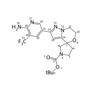 CC(C)(C)OC(=O)N1CCC2(C1)OCCn1nc(-c3cnc(N)c(C(F)(F)F)c3)cc12